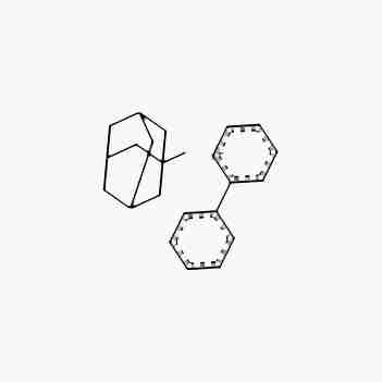 O=C(O)C12CC3CC(CC(C3)C1)C2.c1ccc(-c2ccccc2)cc1